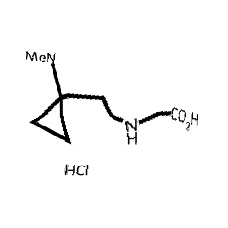 CNC1(CNC(=O)O)CC1.Cl